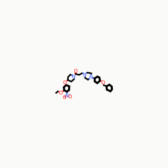 CCOc1cc(OC2CCN(C(=O)CCN3CCN(c4ccc(OCc5ccccc5)cc4)CC3)CC2)ccc1[N+](=O)[O-]